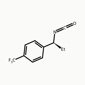 CC[C@H](N=C=O)c1ccc(C(F)(F)F)cc1